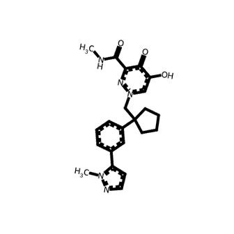 CNC(=O)c1nn(CC2(c3cccc(-c4ccnn4C)c3)CCCC2)cc(O)c1=O